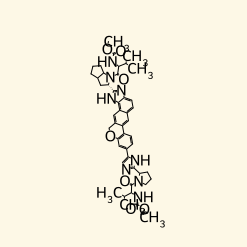 COC(=O)N[C@H](C(=O)N1CCCC1c1ncc(-c2ccc3c(c2)OCc2cc4c(ccc5nc([C@@H]6CC7CCCC7N6C(=O)[C@@H](NC(=O)OC)C(C)C)[nH]c54)cc2-3)[nH]1)C(C)C